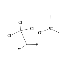 C[S+](C)[O-].FC(F)C(Cl)(Cl)Cl